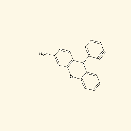 Cc1ccc2c(c1)Oc1ccccc1N2c1c#cccc1